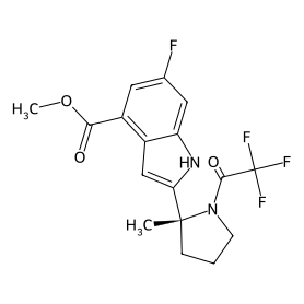 COC(=O)c1cc(F)cc2[nH]c([C@@]3(C)CCCN3C(=O)C(F)(F)F)cc12